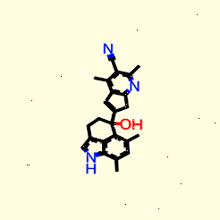 Cc1cc(C)c2[nH]cc3c2c1C(O)(C1=Cc2c(nc(C)c(C#N)c2C)C1)CC3